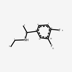 CCNC(C)c1ccc(F)c(F)c1